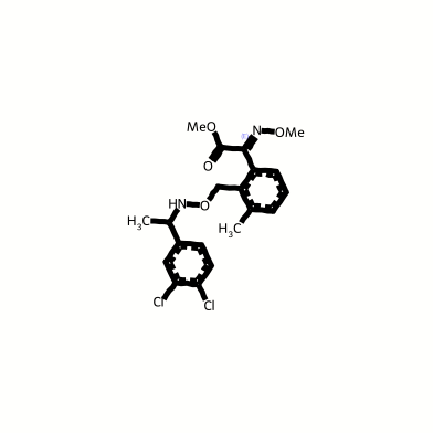 CO/N=C(/C(=O)OC)c1cccc(C)c1CONC(C)c1ccc(Cl)c(Cl)c1